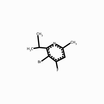 Cc1cc(F)c(Br)c(C(C)C)n1